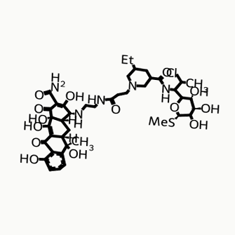 CCC1CC(C(=O)NC(C(C)Cl)C2O[C@H](SC)C(O)[C@H](O)[C@H]2O)CN(CCC(=O)NCCN[C@@H]2C(O)=C(C(N)=O)C(=O)[C@@]3(O)C(O)=C4C(=O)c5c(O)cccc5[C@@](C)(O)[C@H]4C[C@@H]23)C1